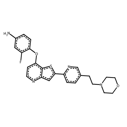 Nc1ccc(Oc2ccnc3cc(-c4ccc(CCN5CCOCC5)cn4)sc23)c(F)c1